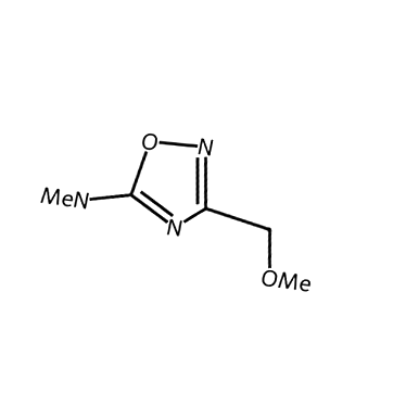 CNc1nc(COC)no1